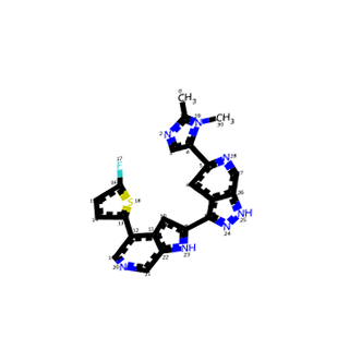 Cc1ncc(-c2cc3c(-c4cc5c(-c6ccc(F)s6)cncc5[nH]4)n[nH]c3cn2)n1C